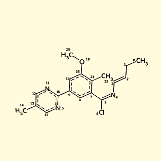 CC/C=C/N=C(/Cl)c1cc(-c2ncc(C)cn2)cc(OC)c1C